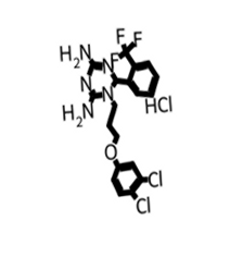 Cl.NC1=NC(c2ccccc2C(F)(F)F)N(CCCOc2ccc(Cl)c(Cl)c2)C(N)=N1